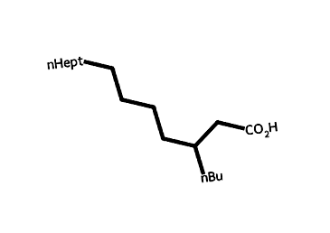 CCCCCCCCCCCC(CCCC)CC(=O)O